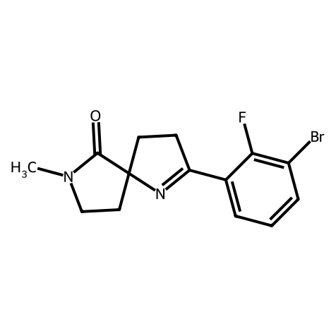 CN1CCC2(CCC(c3cccc(Br)c3F)=N2)C1=O